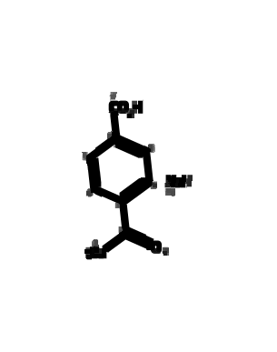 CC(C)(C)C(=O)c1ccc(C(=O)O)cc1.[NaH]